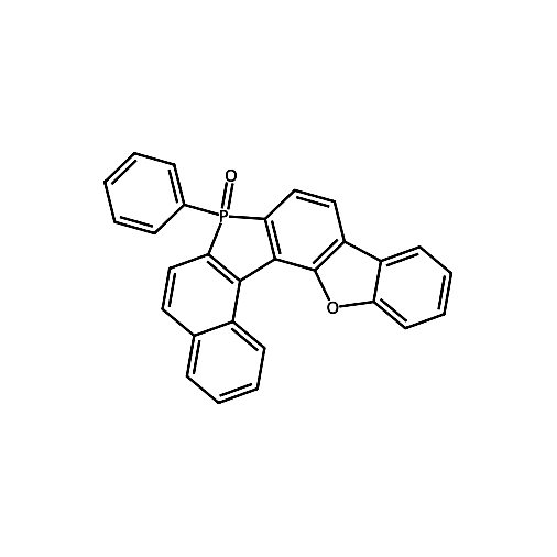 O=P1(c2ccccc2)c2ccc3ccccc3c2-c2c1ccc1c2oc2ccccc21